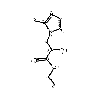 CCOC(=O)[C@H](O)Cn1ncnc1C